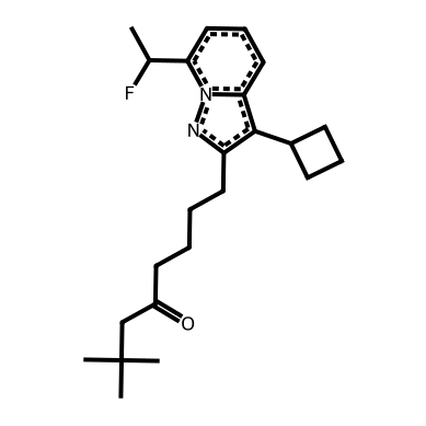 CC(F)c1cccc2c(C3CCC3)c(CCCCC(=O)CC(C)(C)C)nn12